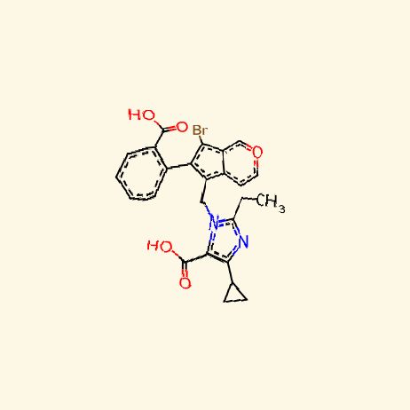 CCc1nc(C2CC2)c(C(=O)O)n1Cc1c2ccocc-2c(Br)c1-c1ccccc1C(=O)O